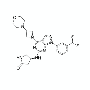 O=C1C[C@H](Nc2nc(N3CC(N4CCOCC4)C3)c3cnn(-c4cccc(C(F)F)c4)c3n2)CN1